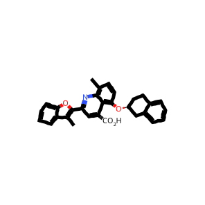 Cc1c(-c2cc(C(=O)O)c3c(O[C@@H]4CCc5ccccc5C4)ccc(C)c3n2)oc2ccccc12